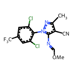 CO/C=N/c1c(C#N)c(C)nn1-c1c(Cl)cc(C(F)(F)F)cc1Cl